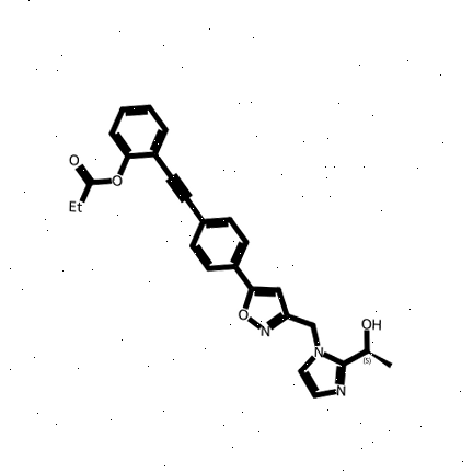 CCC(=O)Oc1ccccc1C#Cc1ccc(-c2cc(Cn3ccnc3[C@H](C)O)no2)cc1